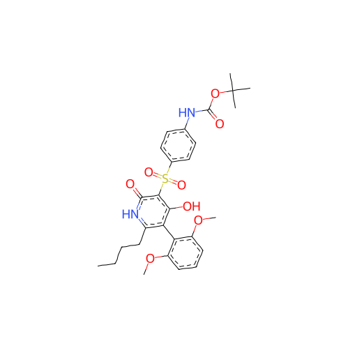 CCCCc1[nH]c(=O)c(S(=O)(=O)c2ccc(NC(=O)OC(C)(C)C)cc2)c(O)c1-c1c(OC)cccc1OC